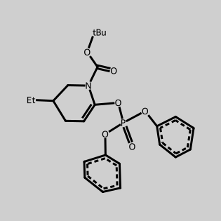 CCC1CC=C(OP(=O)(Oc2ccccc2)Oc2ccccc2)N(C(=O)OC(C)(C)C)C1